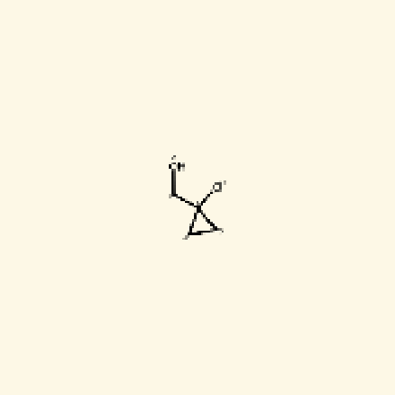 OCC1(Cl)CC1